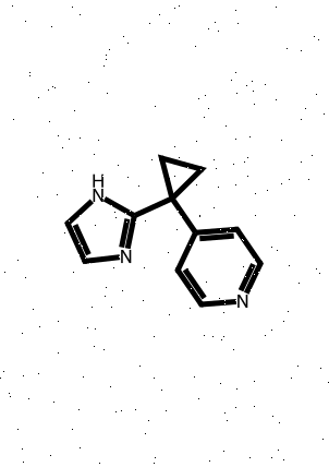 c1cc(C2(c3ncc[nH]3)CC2)ccn1